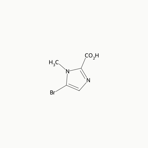 Cn1c(Br)cnc1C(=O)O